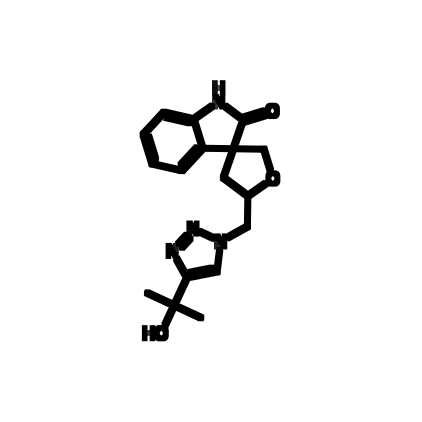 CC(C)(O)c1cn(CC2CC3(CO2)C(=O)Nc2ccccc23)nn1